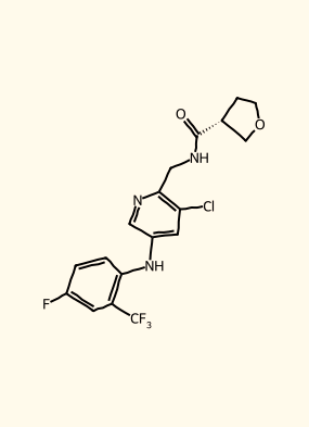 O=C(NCc1ncc(Nc2ccc(F)cc2C(F)(F)F)cc1Cl)[C@@H]1CCOC1